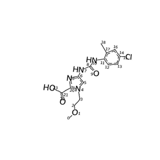 COCCn1cc(NC(=O)Nc2ccc(Cl)cc2C)nc1C(=O)O